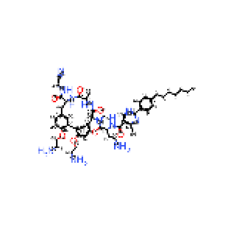 CCCCCCCc1ccc(-c2ncc(C(=O)NC(CCN)C(=O)N(C)C3C(=O)NC(C)C(=O)NC(C(=O)NCC#N)Cc4ccc(OCCN)c(c4)-c4cc3ccc4OCCN)c(C)n2)cc1